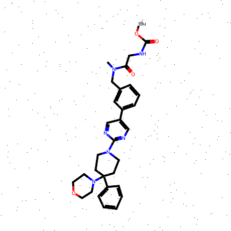 CN(Cc1cccc(-c2cnc(N3CCC(c4ccccc4)(N4CCOCC4)CC3)nc2)c1)C(=O)CNC(=O)OC(C)(C)C